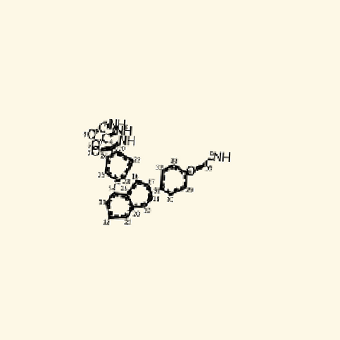 N=C=O.N=C=O.N=C=O.N=C=O.c1ccc2ccccc2c1.c1ccccc1.c1ccccc1